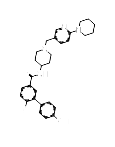 Cc1ccc(-c2cc(C(=O)NC3CCN(Cc4ccc(N5CCCCC5)nc4)CC3)ccc2C)cc1